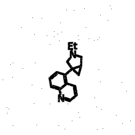 CCN1CC2CC2(c2cccc3ncccc23)C1